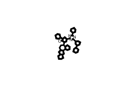 c1ccc(-c2cccc(-c3nc(-c4ccccc4)nc(-c4cc(C5CCc6cc7ccccc7cc6-c6ccccc65)c5oc6ccccc6c5c4)n3)c2)cc1